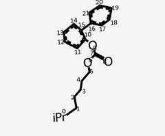 CC(C)CCCCCOC(=O)Oc1ccccc1-c1ccccc1